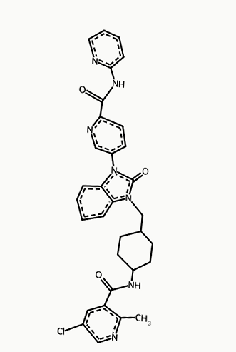 Cc1ncc(Cl)cc1C(=O)NC1CCC(Cn2c(=O)n(-c3ccc(C(=O)Nc4ccccn4)nc3)c3ccccc32)CC1